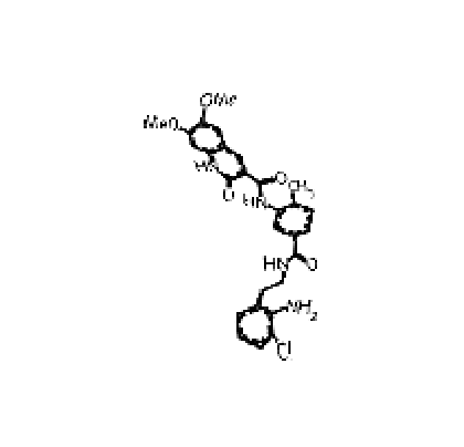 COc1cc2cc(C(=O)Nc3cc(C(=O)NCCc4cccc(Cl)c4N)ccc3C)c(=O)[nH]c2cc1OC